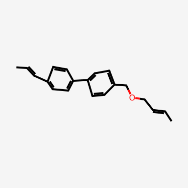 CC=CCOCc1ccc(-c2ccc(C=CC)cc2)cc1